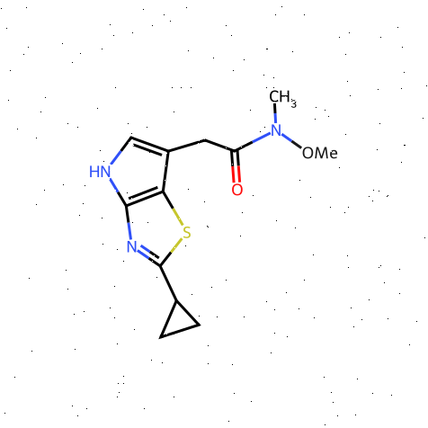 CON(C)C(=O)Cc1c[nH]c2nc(C3CC3)sc12